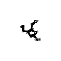 O=Cc1cc(S)oc1C=O